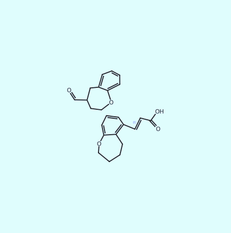 O=C(O)/C=C/c1cccc2c1CCCCO2.O=CC1CCOc2ccccc2C1